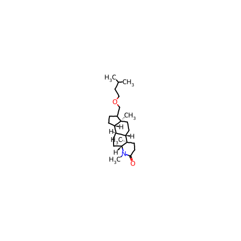 CC(C)CCOCC1CC[C@H]2[C@@H]3CC[C@H]4N(C)C(=O)CC[C@]4(C)[C@H]3CC[C@]12C